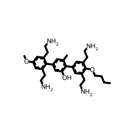 CCCCOc1c(CCN)cc(-c2c(C)cc(-c3c(CCN)cc(OC)cc3CCN)cc2O)cc1CCN